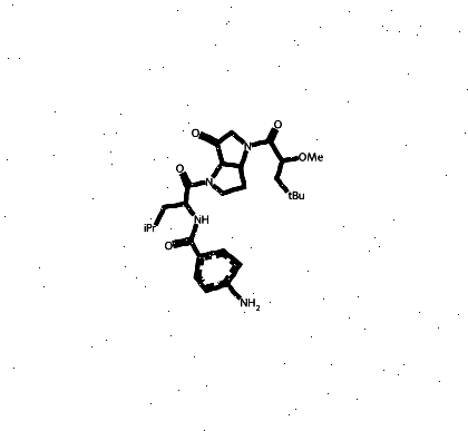 COC(CC(C)(C)C)C(=O)N1CC(=O)C2C1CCN2C(=O)C(CC(C)C)NC(=O)c1ccc(N)cc1